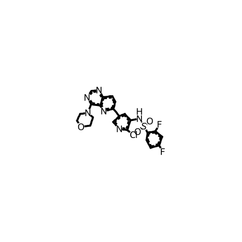 O=S(=O)(Nc1cc(-c2ccc3ncnc(N4CCOCC4)c3n2)cnc1Cl)c1ccc(F)cc1F